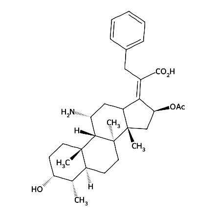 CC(=O)O[C@H]1C[C@@]2(C)C(C[C@@H](N)[C@H]3[C@@]4(C)CC[C@@H](O)[C@@H](C)[C@@H]4CC[C@@]32C)/C1=C(\Cc1ccccc1)C(=O)O